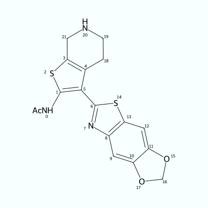 CC(=O)Nc1sc2c(c1-c1nc3cc4c(cc3s1)OCO4)CCNC2